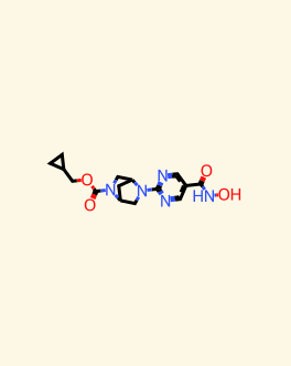 O=C(NO)c1cnc(N2CC3CC2CN3C(=O)OCC2CC2)nc1